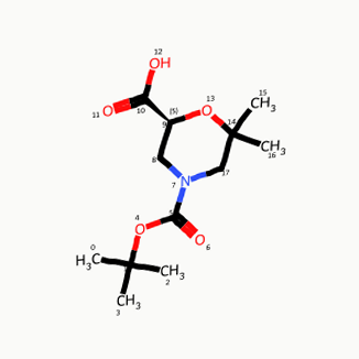 CC(C)(C)OC(=O)N1C[C@@H](C(=O)O)OC(C)(C)C1